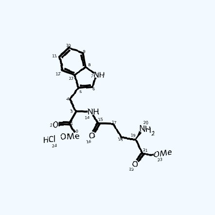 COC(=O)C(Cc1c[nH]c2ccccc12)NC(=O)CC[C@@H](N)C(=O)OC.Cl